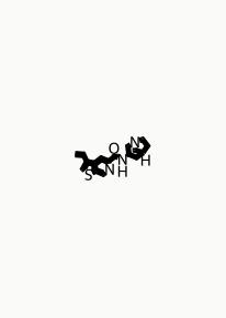 C=Cc1csc2cnc(C(=O)N[C@@H]3C[C@@H]4CCN(C4)C3)cc12